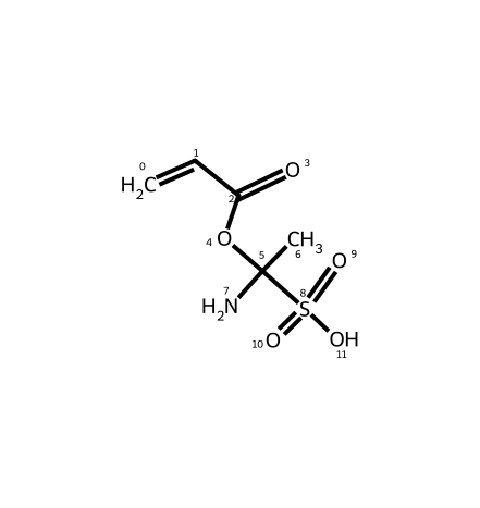 C=CC(=O)OC(C)(N)S(=O)(=O)O